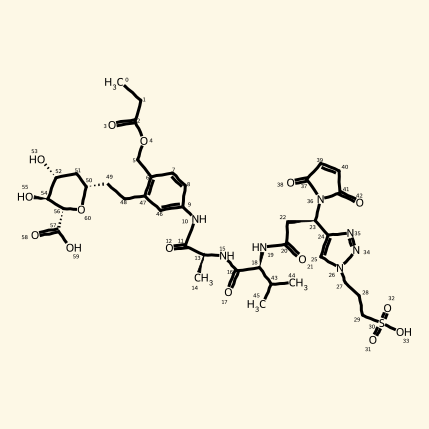 CCC(=O)OCc1ccc(NC(=O)[C@H](C)NC(=O)[C@@H](NC(=O)C[C@H](c2cn(CCCS(=O)(=O)O)nn2)N2C(=O)C=CC2=O)C(C)C)cc1CC[C@H]1C[C@@H](O)[C@H](O)[C@@H](C(=O)O)O1